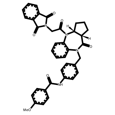 COc1ccc(C(=O)Nc2ccc(CN3C(=O)[C@H]4CCC[C@H]4N(C(=O)CN4C(=O)c5ccccc5C4=O)c4ccccc43)cc2)cc1